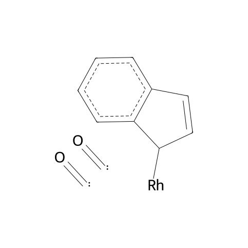 [C]=O.[C]=O.[Rh][CH]1C=Cc2ccccc21